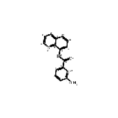 Cc1cccc(C(=O)Nc2cccc3cccnc23)n1